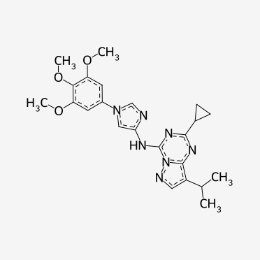 COc1cc(-n2cnc(Nc3nc(C4CC4)nc4c(C(C)C)cnn34)c2)cc(OC)c1OC